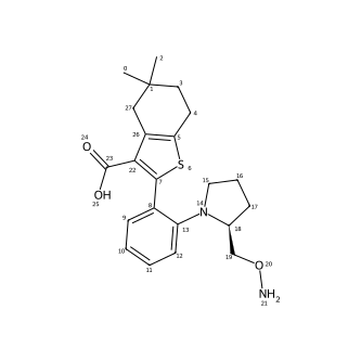 CC1(C)CCc2sc(-c3ccccc3N3CCC[C@H]3CON)c(C(=O)O)c2C1